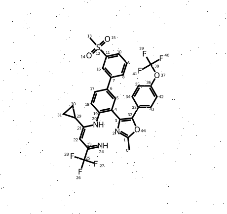 Cc1nc(-c2cc(-c3cccc(S(C)(=O)=O)c3)ccc2N/C(=C\C(=N)C(F)(F)F)C2CC2)c(-c2ccc(OC(F)(F)F)cc2)o1